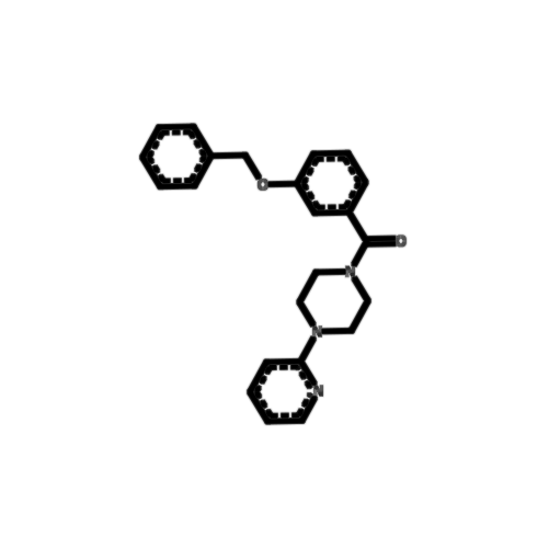 O=C(c1cccc(OCc2ccccc2)c1)N1CCN(c2ccccn2)CC1